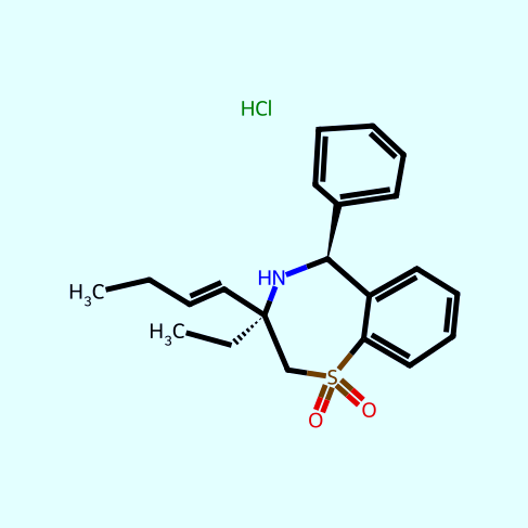 CCC=C[C@]1(CC)CS(=O)(=O)c2ccccc2[C@H](c2ccccc2)N1.Cl